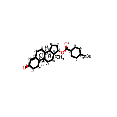 CCCCC1CCC(C(=O)O[C@H]2CC[C@@H]3[C@@H]4CCC5=CC(=O)CC[C@]5(C)[C@H]4CC[C@]23C)CC1